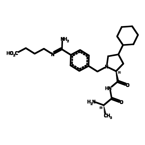 C[C@H](N)C(=O)NC(=O)[C@@H]1CC(C2CCCCC2)CN1Cc1ccc(C(N)=NCCCC(=O)O)cc1